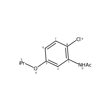 CC(=O)Nc1cc(OC(C)C)ccc1Cl